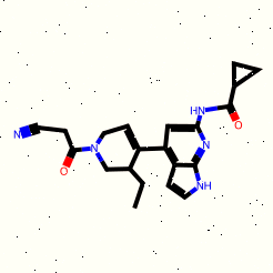 CCC1CN(C(=O)CC#N)CC=C1c1cc(NC(=O)C2CC2)nc2[nH]ccc12